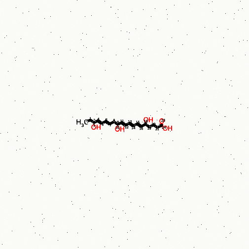 CC[C@@H](O)C=CC=CC[C@@H](O)C=CC=CC=C[C@@H](O)CCCC(=O)O